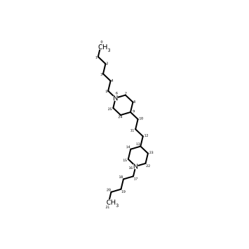 CCCCCCN1CCC(CCCC2CCN(CCCCC)CC2)CC1